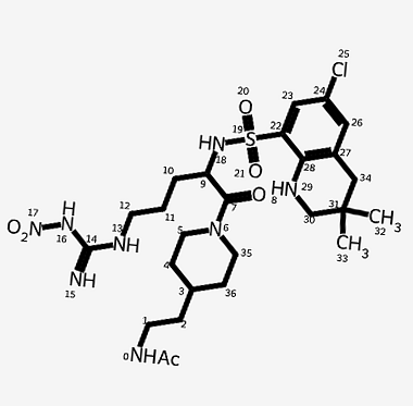 CC(=O)NCCC1CCN(C(=O)C(CCCNC(=N)N[N+](=O)[O-])NS(=O)(=O)c2cc(Cl)cc3c2NCC(C)(C)C3)CC1